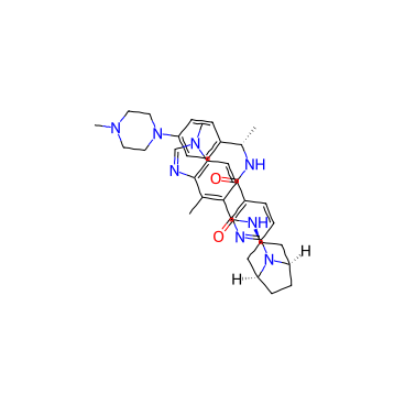 Cc1c(C(=O)N[C@H]2C[C@H]3CC[C@@H](C2)N3c2ccc(C(=O)N[C@@H](C)c3ccc(N4CCN(C)CC4)cc3)cn2)ccc2c1ncn2C